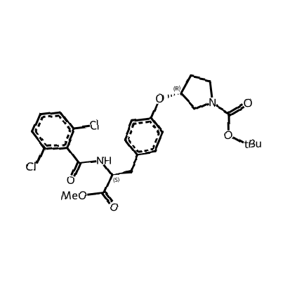 COC(=O)[C@H](Cc1ccc(O[C@@H]2CCN(C(=O)OC(C)(C)C)C2)cc1)NC(=O)c1c(Cl)cccc1Cl